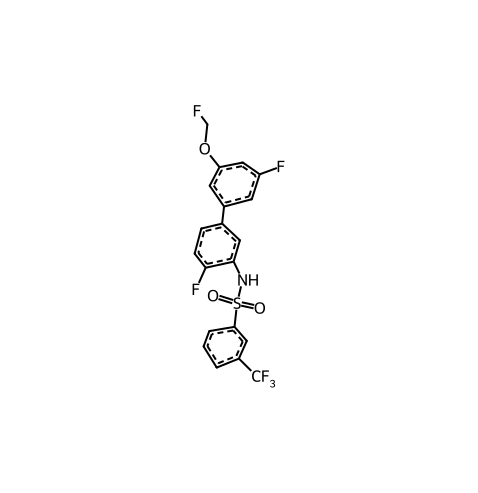 O=S(=O)(Nc1cc(-c2cc(F)cc(OCF)c2)ccc1F)c1cccc(C(F)(F)F)c1